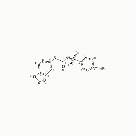 CC(C)c1ccc(S(=O)(=O)NC(=O)Cc2ccc3c(c2)OCO3)cc1